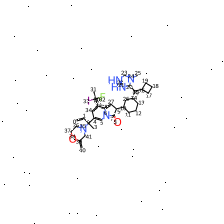 C=CC(C)(C1=CN2C(=O)C(C3CCCC([C@@H](C4CCC4)C4NNCN4C)C3)C=C2C([C@@](C)(F)I)=C1)N1CCOC(=C)C1